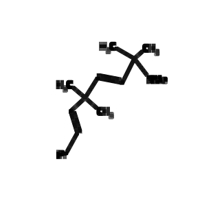 CNC(C)(C)C=CC(C)(C)C=CC(C)C